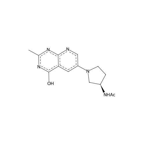 CC(=O)N[C@@H]1CCN(c2cnc3nc(C)nc(O)c3c2)C1